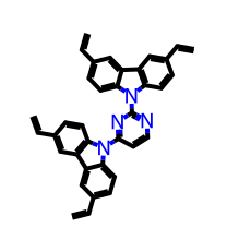 C=Cc1ccc2c(c1)c1cc(C=C)ccc1n2-c1ccnc(-n2c3ccc(C=C)cc3c3cc(C=C)ccc32)n1